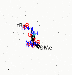 COc1ccc2c(c1)C(=O)N(C[C@]1(c3cc4cc(C(=O)NCCN(C)CCNC(=O)OC(C)(C)C)c(F)cc4o3)CONC(=O)N1)C2